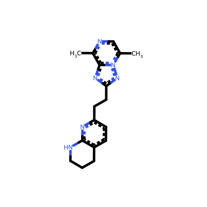 Cc1ncc(C)n2nc(CCc3ccc4c(n3)NCCC4)nc12